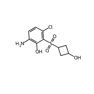 Nc1ccc(Cl)c(S(=O)(=O)C2CC(O)C2)c1O